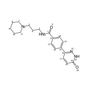 O=C(NCCCN1CCCCC1)c1ccc(-c2ccc(=O)[nH]n2)cc1